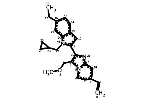 C=Cc1ccn2c(COC)c(-c3cc4ccc(CC)cc4n3CC3CC3)nc2c1